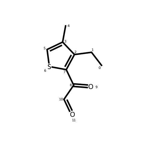 CCc1c(C)csc1C(=O)C=O